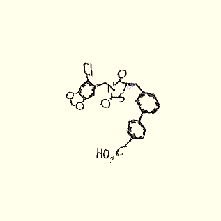 O=C(O)c1ccc(-c2cccc(/C=C3\SC(=O)N(Cc4cc5c(cc4Cl)OCO5)C3=O)c2)cc1